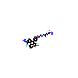 CNC(=O)CCCCNCCOc1ccc(C(=C(CC(F)(F)F)c2ccccc2)c2ccc3[nH]nc(F)c3c2)cn1